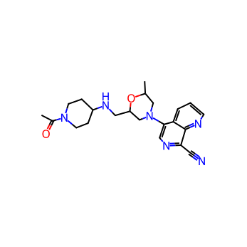 CC(=O)N1CCC(NCC2CN(c3cnc(C#N)c4ncccc34)CC(C)O2)CC1